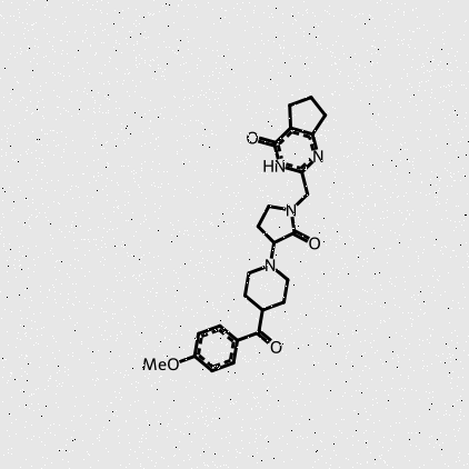 COc1ccc(C(=O)C2CCN(C3CCN(Cc4nc5c(c(=O)[nH]4)CCC5)C3=O)CC2)cc1